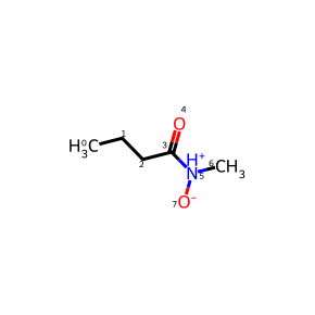 CCCC(=O)[NH+](C)[O-]